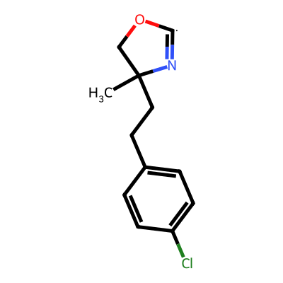 CC1(CCc2ccc(Cl)cc2)CO[C]=N1